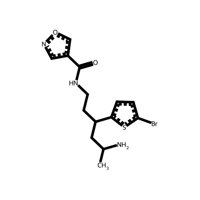 CC(N)CC(CCNC(=O)c1cnoc1)c1ccc(Br)s1